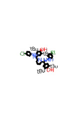 CC(C)(C)c1cc(/C(=N\Nc2ccc(Cl)cc2)c2cccc(/C(=N/Nc3ccc(Cl)cc3)c3cc(C(C)(C)C)c(O)c(C(C)(C)C)c3)n2)cc(C(C)(C)C)c1O